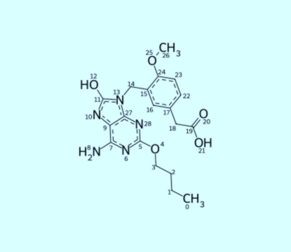 CCCCOc1nc(N)c2nc(O)n(Cc3cc(CC(=O)O)ccc3OC)c2n1